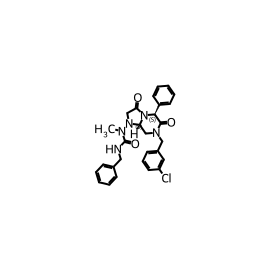 CN(C(=O)NCc1ccccc1)N1CC(=O)N2[C@@H](c3ccccc3)C(=O)N(Cc3cccc(Cl)c3)C[C@@H]21